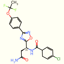 CC(F)(F)Oc1ccc(-c2noc([C@H](CC(N)=O)NC(=O)C3C=CC(Cl)=CC3)n2)cc1